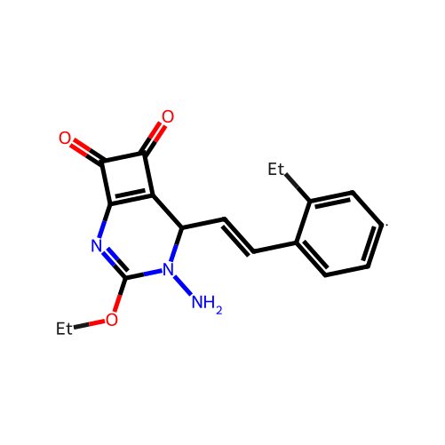 CCOC1=Nc2c(c(=O)c2=O)C(C=Cc2cc[c]cc2CC)N1N